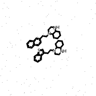 c1ccc2c(CCN3CCNC4CCCCC43)csc2c1.c1ccc2cc(CCN3CCNC4CCCCC43)ccc2c1